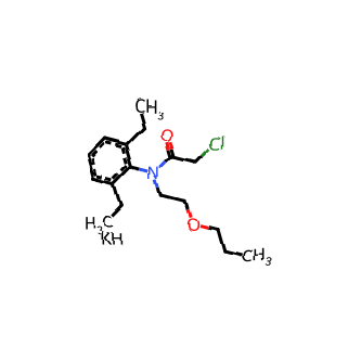 CCCOCCN(C(=O)CCl)c1c(CC)cccc1CC.[KH]